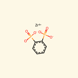 O=P([O-])([O-])c1ccccc1P(=O)([O-])[O-].[Zr+4]